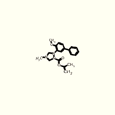 COc1ccc(-c2ccccc2)cc1N1CN(C)CN1C(=O)OC(C)C